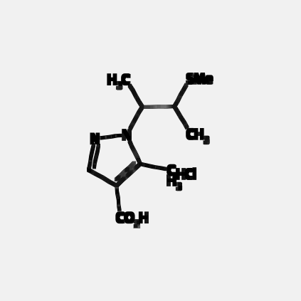 CSC(C)C(C)n1ncc(C(=O)O)c1C.Cl